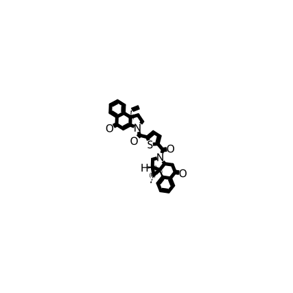 C=C[C@]12CCN(C(=O)c3ccc(C(=O)N4C[C@H]5[C@@H](C)[C@]56c5ccccc5C(=O)CC46)s3)C1=CC(=O)c1ccccc12